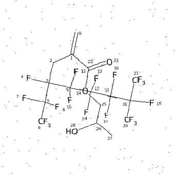 C=C(CC(F)(C(F)(F)C(F)(F)F)C(F)(F)C(F)(F)C(F)(F)C(F)(C(F)(F)F)C(F)(F)F)C(=O)OCC(C)O